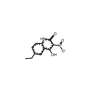 CCc1ccc2[nH]c(=O)c([N+](=O)[O-])c(O)c2c1